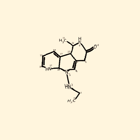 CCNN1C=C2CC(=O)NC(C)C2C2=CC=CNC21